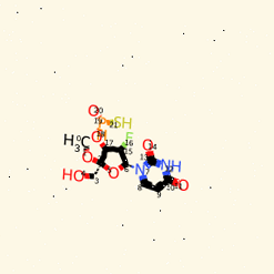 CO[C@]1(CO)O[C@@H](n2ccc(=O)[nH]c2=O)C(F)C1O[PH](=O)S